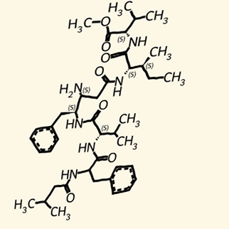 CC[C@H](C)[C@H](NC(=O)C[C@H](N)[C@H](Cc1ccccc1)NC(=O)[C@@H](NC(=O)C(Cc1ccccc1)NC(=O)CC(C)C)C(C)C)C(=O)N[C@H](C(=O)OC)C(C)C